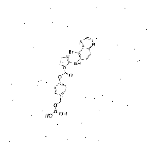 O=C(Oc1ccc(CON(O)O)cc1)N1CCN=C1Nc1ccc2nccnc2c1Br